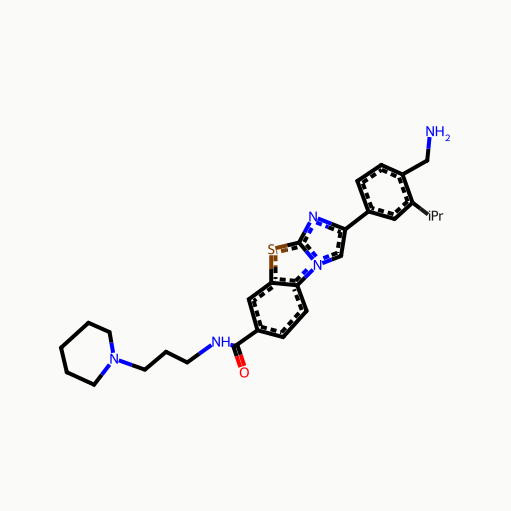 CC(C)c1cc(-c2cn3c(n2)sc2cc(C(=O)NCCCN4CCCCC4)ccc23)ccc1CN